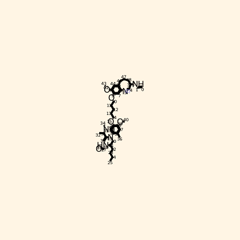 C=CNC1/C=N\c2cc(OCCCCCOc3cc(N(CC(CCCC)NC=O)C(=C)C(C)NC)c(C)cc3OC)c(OC)cc2CCC1